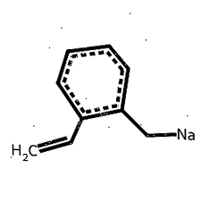 C=Cc1ccccc1[CH2][Na]